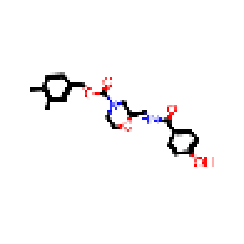 Cc1ccc(COC(=O)N2CCOC(CNC(=O)c3ccc(O)cc3)C2)cc1C